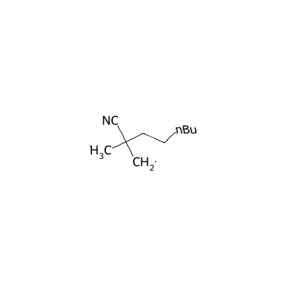 [CH2]C(C)(C#N)CCCCCC